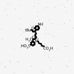 CC(C)(C)c1cc(/C=C/C=C2/N(CCCCCC(=O)O)c3ccc(S(=O)(=O)O)cc3C2(C)C)c2ccc(=N)cc-2o1